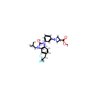 COC(=O)C1CN(c2cccc(-n3c(=O)n(CC(C)C)c4cc(CC(F)(F)F)ccc43)c2)C1